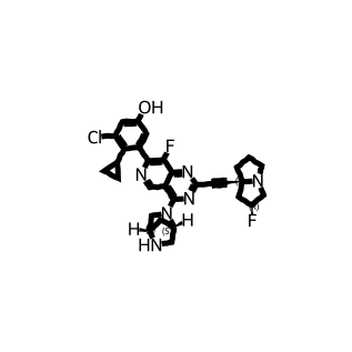 Oc1cc(Cl)c(C2CC2)c(-c2ncc3c(N4C[C@@H]5C[C@H]4CN5)nc(C#C[C@@]45CCCN4C[C@H](F)C5)nc3c2F)c1